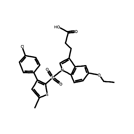 CCOc1ccc2c(c1)c(CCC(=O)O)cn2S(=O)(=O)c1sc(C)cc1-c1ccc(Cl)cc1